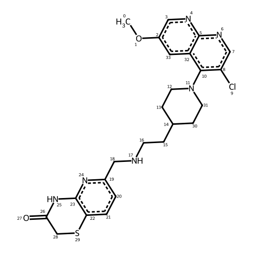 COc1cnc2ncc(Cl)c(N3CCC(CCNCc4ccc5c(n4)NC(=O)CS5)CC3)c2c1